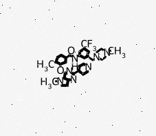 Cc1ccc(C(=O)Nc2cc(CN3CCN(C)CC3)cc(C(F)(F)F)c2)cc1Oc1nc(-c2ccncc2)nc2ccn(C)c12